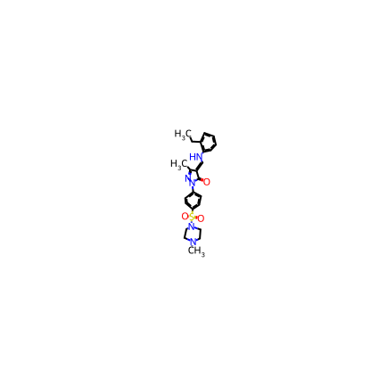 CCc1ccccc1NC=C1C(=O)N(c2ccc(S(=O)(=O)N3CCN(C)CC3)cc2)N=C1C